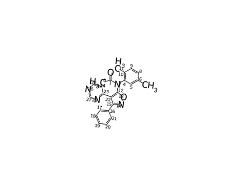 CC(=O)N(c1cc(C)ccc1C)c1onc(-c2ccccc2)c1-c1ccncn1